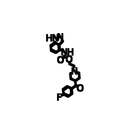 O=C(Nc1cccc2[nH]ncc12)OCCN1CCC(C(=O)c2ccc(F)cc2)CC1